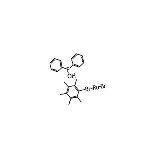 Cc1c(C)c(C)c(C)c(C)c1C.OP(c1ccccc1)c1ccccc1.[Br][Ru][Br]